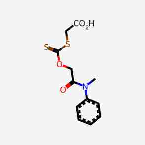 CN(C(=O)COC(=S)SCC(=O)O)c1ccccc1